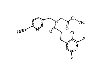 COC(=O)CN(Cc1ccc(C#N)nc1)C(=O)CSc1cc(F)cc(F)c1Cl